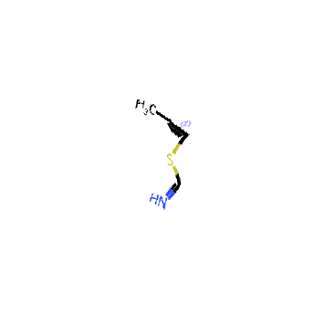 C/C=C\SC=N